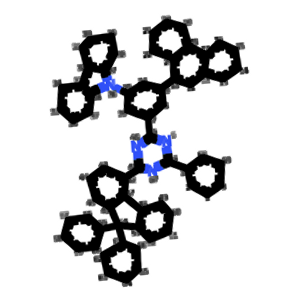 c1ccc(-c2nc(-c3cc(-c4cc5ccccc5c5ccccc45)cc(-n4c5ccccc5c5ccccc54)c3)nc(-c3cccc4c3-c3ccccc3C4(c3ccccc3)c3ccccc3)n2)cc1